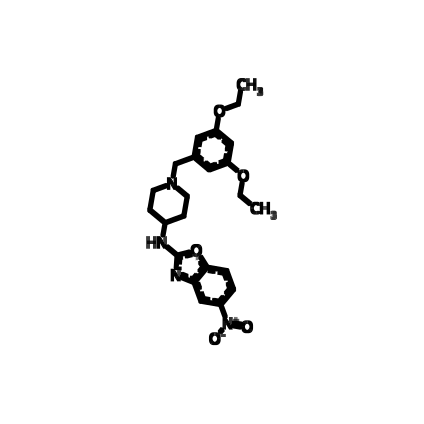 CCOc1cc(CN2CCC(Nc3nc4cc([N+](=O)[O-])ccc4o3)CC2)cc(OCC)c1